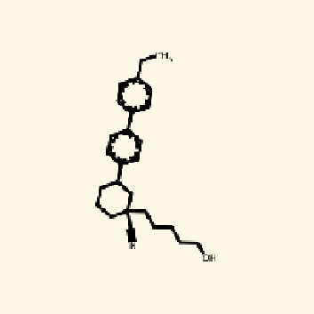 CCc1ccc(-c2ccc(C3CCCC(C#N)(CCCCCO)C3)cc2)cc1